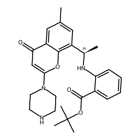 Cc1cc([C@@H](C)Nc2ccccc2C(=O)OC(C)(C)C)c2oc(N3CCNCC3)cc(=O)c2c1